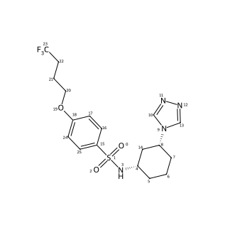 O=S(=O)(N[C@H]1CCC[C@@H](n2cnnc2)C1)c1ccc(OCCCC(F)(F)F)cc1